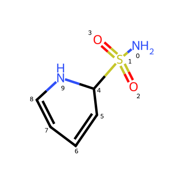 NS(=O)(=O)C1C=CC=CN1